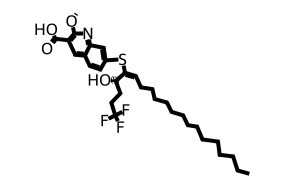 CCCCCCCCCCCCCCC=C(Sc1ccc2cc(C(=O)O)c(OC)nc2c1)[C@H](O)CCC(F)(F)F